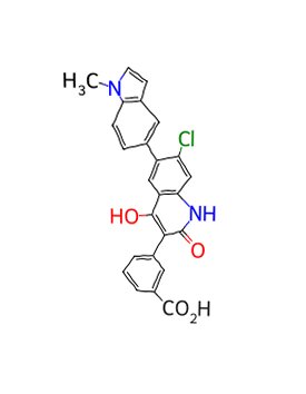 Cn1ccc2cc(-c3cc4c(O)c(-c5cccc(C(=O)O)c5)c(=O)[nH]c4cc3Cl)ccc21